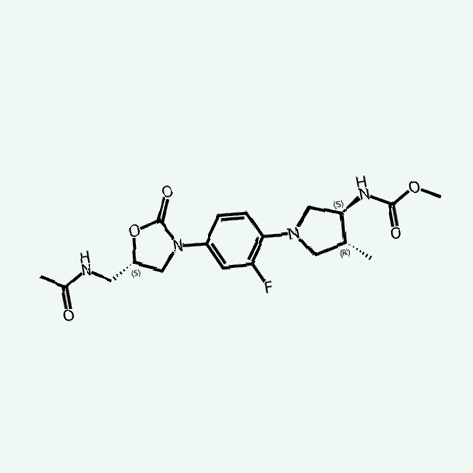 COC(=O)N[C@@H]1CN(c2ccc(N3C[C@H](CNC(C)=O)OC3=O)cc2F)C[C@H]1C